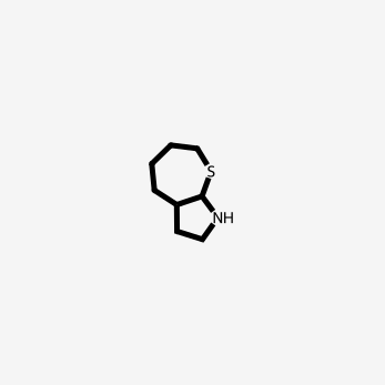 C1CCC2CCNC2SC1